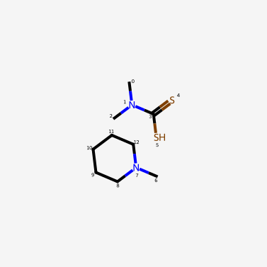 CN(C)C(=S)S.CN1CCCCC1